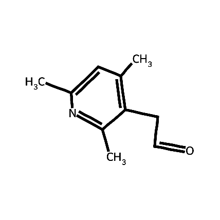 Cc1cc(C)c(CC=O)c(C)n1